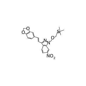 C[Si](C)(C)CCOCn1nc(C=Cc2ccc3c(c2)OCO3)c2ccc([N+](=O)[O-])cc21